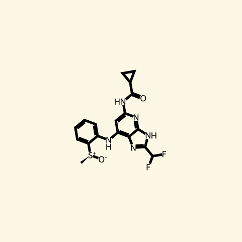 C[S@+]([O-])c1ccccc1Nc1cc(NC(=O)C2CC2)nc2[nH]c(C(F)F)nc12